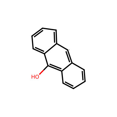 Oc1c2ccccc2[c]c2ccccc12